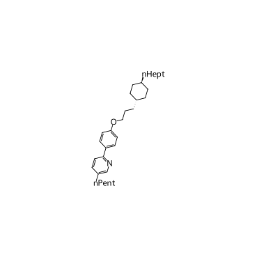 CCCCCCC[C@H]1CC[C@H](CCCOc2ccc(-c3ccc(CCCCC)cn3)cc2)CC1